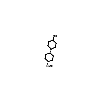 CN[C@H]1CC[C@H](N2CCC(O)CC2)CC1